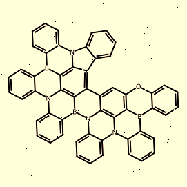 c1ccc2c(c1)Oc1cc3c4c5c1B2c1ccccc1N5c1ccccc1N4B1c2ccccc2N2c4ccccc4B4c5ccccc5-n5c6ccccc6c6c-3c1c2c4c65